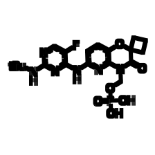 CC(C)(C)Nc1ncc(F)c(Nc2ccc3c(n2)N(COP(=O)(O)O)C(=O)C2(CCC2)O3)n1